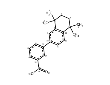 CC1(C)CCC(C)(C)c2cc(-c3[c]ccc([N+](=O)[O-])c3)ccc21